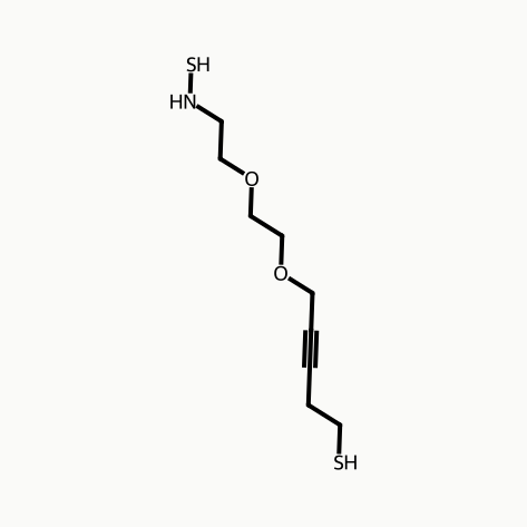 SCCC#CCOCCOCCNS